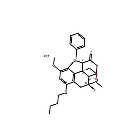 CCCCOc1cc(OC)c2c3c1C[C@@H]1[C@@H]4CCC(=O)[C@](Cc5ccccc5)(O2)[C@]34CCN1C.Cl